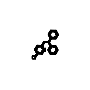 Clc1ccc(CC(c2ccccc2)c2ccccc2)nc1